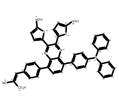 CCCCCCCCc1ccc(-c2nc3c(-c4ccc(/C=C(/C#N)C(=O)O)cc4)ccc(-c4ccc(N(c5ccccc5)c5ccccc5)cc4)c3nc2-c2ccc(CCCCCCCC)s2)s1